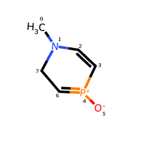 CN1C=C[P+]([O-])=CC1